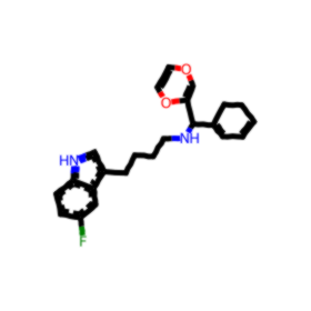 Fc1ccc2[nH]cc(CCCCNC(C3=CC=CCC3)C3=COC=CO3)c2c1